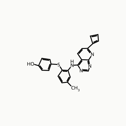 Cc1ccc(Sc2ccc(O)cc2)c(Nc2ncnc3nc(C4=CC=C4)ccc23)c1